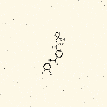 O=C(Nc1ccc(F)c(Cl)c1)c1ccnc(N[S+]([O-])CC2(O)CCC2)c1